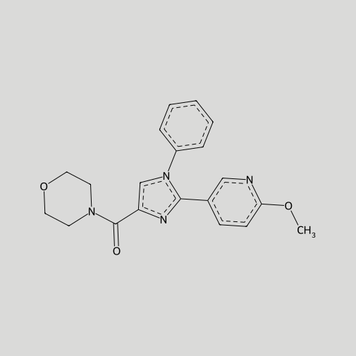 COc1ccc(-c2nc(C(=O)N3CCOCC3)cn2-c2ccccc2)cn1